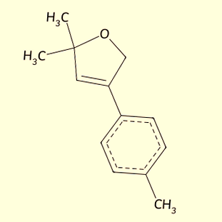 Cc1ccc(C2=CC(C)(C)OC2)cc1